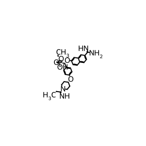 CCOP(=O)(O)C(Oc1ccc2ccc(C(=N)N)cc2c1)c1ccc(OC2CCN(C(=N)CC)CC2)cc1